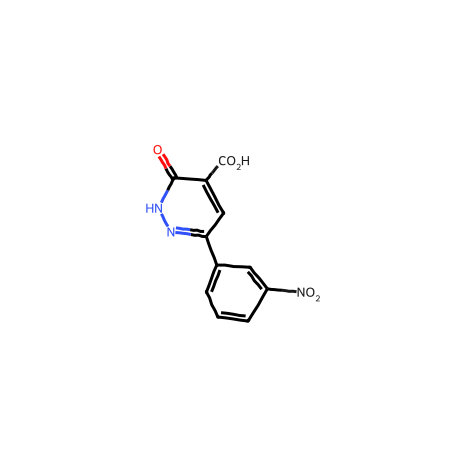 O=C(O)c1cc(-c2cccc([N+](=O)[O-])c2)n[nH]c1=O